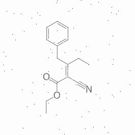 CCOC(=O)C(C#N)=C(CC)Cc1ccccc1